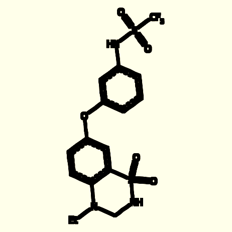 CCN1CNS(=O)(=O)c2cc(Oc3cccc(NS(=O)(=O)C(F)(F)F)c3)ccc21